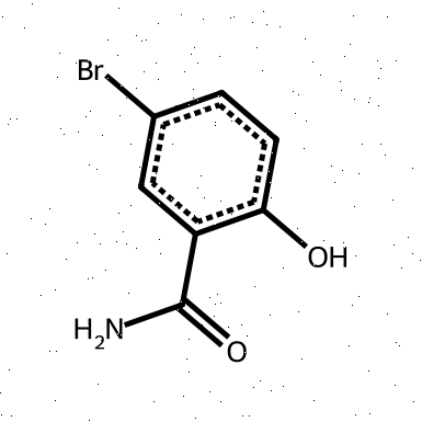 NC(=O)c1cc(Br)ccc1O